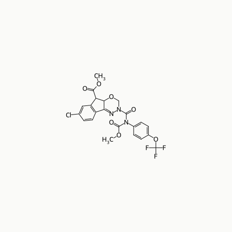 COC(=O)C1c2cc(Cl)ccc2C2=NN(C(=O)N(C(=O)OC)c3ccc(OC(F)(F)F)cc3)COC21